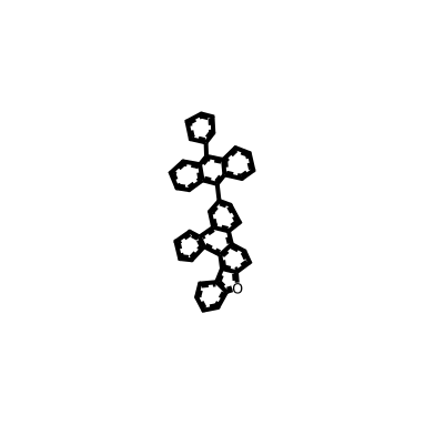 c1ccc(-c2c3ccccc3c(-c3ccc4c(c3)c3ccccc3c3c4ccc4oc5ccccc5c43)c3ccccc23)cc1